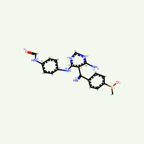 C[S+]([O-])c1ccc(C(=N)c2c(N)ncnc2Nc2ccc(NC=O)cc2)cc1